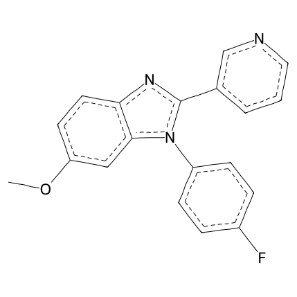 COc1ccc2nc(-c3cccnc3)n(-c3ccc(F)cc3)c2c1